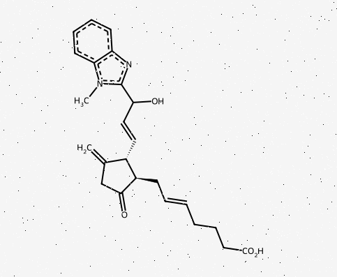 C=C1CC(=O)[C@H](CC=CCCCC(=O)O)[C@H]1C=CC(O)c1nc2ccccc2n1C